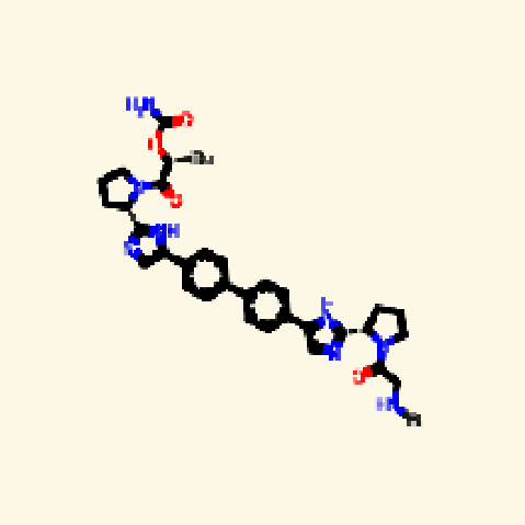 CCNCC(=O)N1CCC[C@H]1c1ncc(-c2ccc(-c3ccc(-c4cnc([C@@H]5CCCN5C(=O)[C@@H](OC(N)=O)C(C)CC)[nH]4)cc3)cc2)[nH]1